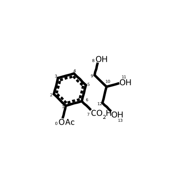 CC(=O)Oc1ccccc1C(=O)O.OCC(O)CO